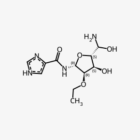 CCO[C@@H]1[C@H](O)[C@@H](C(N)O)O[C@H]1NC(=O)c1c[nH]cn1